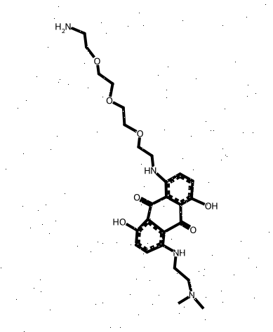 CN(C)CCNc1ccc(O)c2c1C(=O)c1c(O)ccc(NCCOCCOCCOCCN)c1C2=O